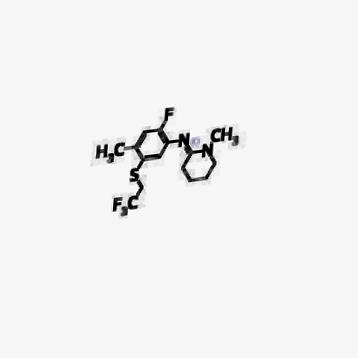 Cc1cc(F)c(/N=C2\CCCCN2C)cc1SCC(F)(F)F